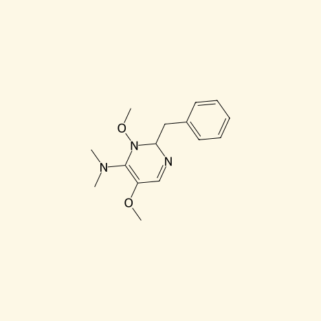 COC1=C(N(C)C)N(OC)C(Cc2ccccc2)N=C1